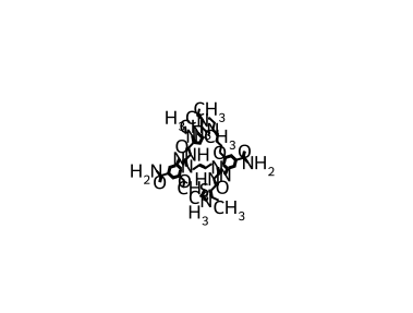 CCc1nc(C)sc1C(=O)Nc1nc2cc(C(N)=O)cc(OCCCN3CCN(C(C)C)CC3)c2n1C/C=C/Cn1c(NC(=O)c2cc(C)nn2CC)nc2cc(C(N)=O)cc(OC)c21